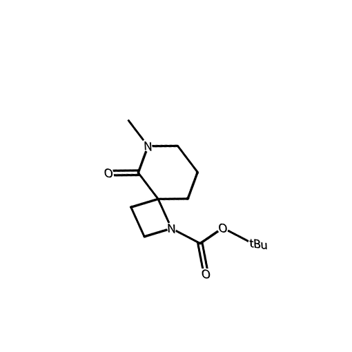 CN1CCCC2(CCN2C(=O)OC(C)(C)C)C1=O